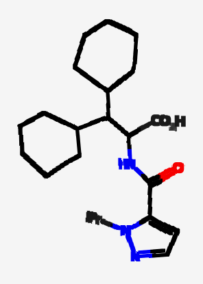 CC(C)n1nccc1C(=O)NC(C(=O)O)C(C1CCCCC1)C1CCCCC1